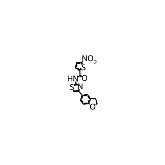 O=C(Nc1nc(-c2ccc3c(c2)CCO3)cs1)c1ccc([N+](=O)[O-])s1